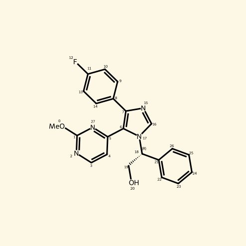 COc1nccc(-c2c(-c3ccc(F)cc3)ncn2[C@@H](CO)c2ccccc2)n1